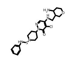 NC1CCOCC1CNc1cnn(C2CCN(SNc3ccccc3)CC2)c(=O)c1Cl